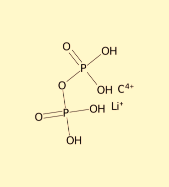 O=P(O)(O)OP(=O)(O)O.[C+4].[Li+]